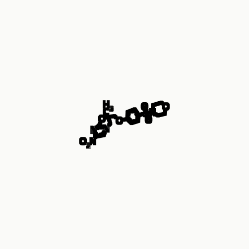 C[C@]1(COc2ccc(S(=O)(=O)N3CCOCC3)cc2)Cn2cc([N+](=O)[O-])nc2O1